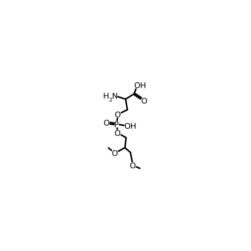 COCC(COP(=O)(O)OCC(N)C(=O)O)OC